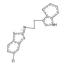 Clc1ccc2s/c(=N/CCc3c[nH]c4ccccc34)sc2c1